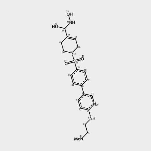 CNCCNc1ccc(-c2ccc(S(=O)(=O)N3CC=C(C(O)NO)CC3)cc2)cn1